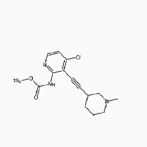 CN1CCCC(C#Cc2c(Cl)ccnc2NC(=O)OC(C)(C)C)C1